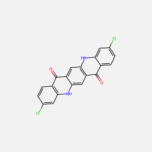 O=c1c2ccc(Cl)cc2[nH]c2cc3c(=O)c4ccc(Cl)cc4[nH]c3cc12